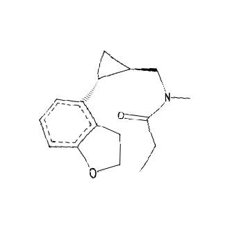 CCC(=O)N(C)C[C@@H]1C[C@H]1c1cccc2c1CCO2